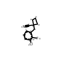 N#CC1(Cc2cccc(Cl)c2F)CCC1